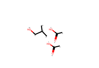 CC(=O)O.CC(=O)O.CC(C)CO